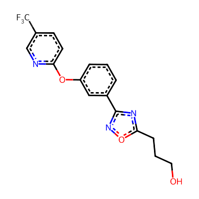 OCCCc1nc(-c2cccc(Oc3ccc(C(F)(F)F)cn3)c2)no1